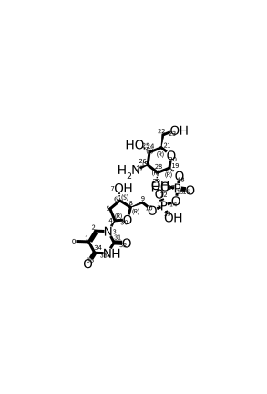 Cc1cn([C@H]2C[C@H](O)[C@@H](COP(=O)(O)OP(=O)(O)O[C@H]3O[C@H](CO)[C@@H](O)[C@H](N)[C@H]3O)O2)c(=O)[nH]c1=O